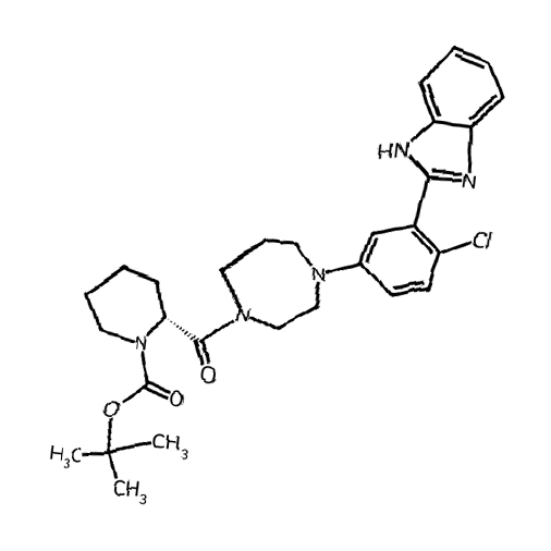 CC(C)(C)OC(=O)N1CCCC[C@@H]1C(=O)N1CCCN(c2ccc(Cl)c(-c3nc4ccccc4[nH]3)c2)CC1